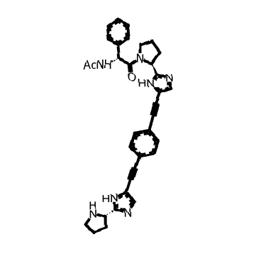 CC(=O)N[C@@H](C(=O)N1CCC[C@H]1c1ncc(C#Cc2ccc(C#Cc3cnc([C@@H]4CCCN4)[nH]3)cc2)[nH]1)c1ccccc1